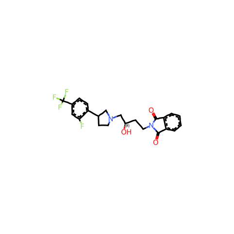 O=C1c2ccccc2C(=O)N1CC[C@@H](O)CN1CCC(c2ccc(C(F)(F)F)cc2F)C1